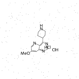 COc1cnc2c(C3CCNCC3)ncnc2c1.Cl.Cl